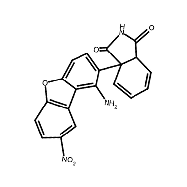 Nc1c(C23C=CC=CC2C(=O)NC3=O)ccc2oc3ccc([N+](=O)[O-])cc3c12